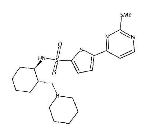 CSc1nccc(-c2ccc(S(=O)(=O)N[C@@H]3CCCC[C@H]3CN3CCCCC3)s2)n1